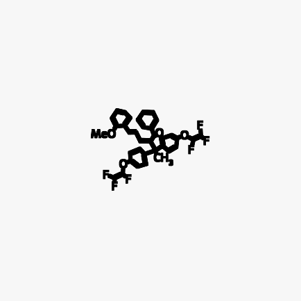 COc1ccccc1C=CC=C(C(=O)c1ccccc1)C(C)(c1ccc(OC(F)=C(F)F)cc1)c1ccc(OC(F)=C(F)F)cc1